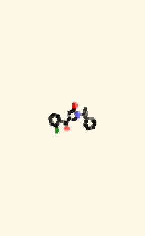 C[C@@H](c1ccccc1)N1CC(C(=O)c2ccccc2F)CC1=O